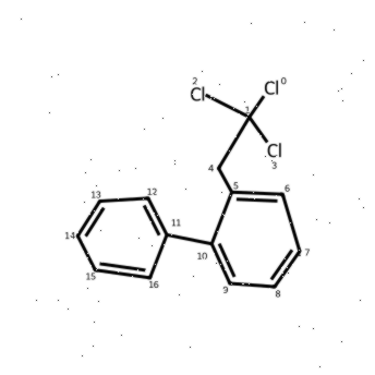 ClC(Cl)(Cl)Cc1c[c]ccc1-c1ccccc1